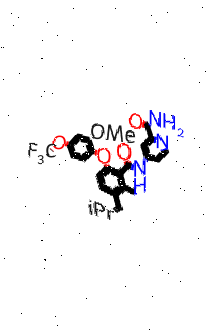 COc1cc(OC(F)(F)F)ccc1Oc1ccc(CC(C)C)c(C)c1C(=O)Nc1ccnc(C(N)=O)c1